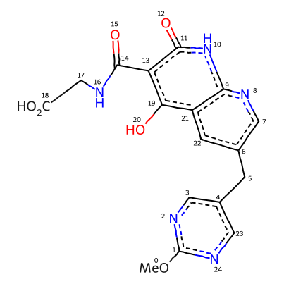 COc1ncc(Cc2cnc3[nH]c(=O)c(C(=O)NCC(=O)O)c(O)c3c2)cn1